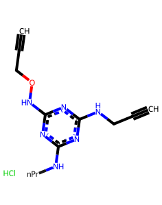 C#CCNc1nc(NCCC)nc(NOCC#C)n1.Cl